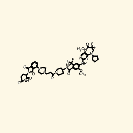 COc1cc(C(=O)NC2CCN(C(=O)CCN3CCN(c4cccc5c4C(=O)N(C4CCC(=O)NC4=O)C5=O)CC3)CC2)c(C(F)(F)F)cc1Nc1ncc2c(n1)N(C1CCCC1)CC(F)(F)C(=O)N2C